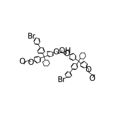 OC(COc1ccc(C(c2ccc(OCC3CO3)cc2)(c2ccc(-c3ccc(Br)cc3)cc2)C2CCCCC2)cc1)COc1ccc(C(c2ccc(OCC3CO3)cc2)(c2ccc(-c3ccc(Br)cc3)cc2)C2CCCCC2)cc1